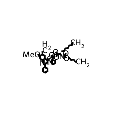 C=CCCCCC[C@H](NC(=O)OCCCC=C)C(=O)OC(=O)[C@]1(Oc2cc(-c3ccccc3)nc3cc(OC)c(C=C)cc23)CCCN1